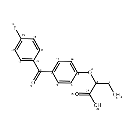 CCC(Oc1ccc(C(=O)c2ccc(F)cc2)cc1)C(=O)O